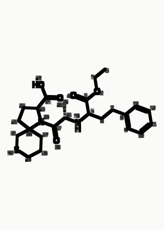 CCOC(=O)C(CCc1ccccc1)N[C@@H](C)C(=O)N1C(C(=O)O)CCC12CCCSC2